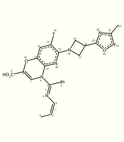 C/C=C\N=C(/C(C)C)N1C=C(C(=O)O)Oc2cc(F)c(N3CC(c4nc(C)no4)C3)nc21